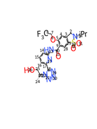 CC(C)N1Cc2cc(OCC(F)(F)F)c(C(=O)Nc3cccc(-c4nnnn4[C@H](C)CO)n3)cc2S1(=O)=O